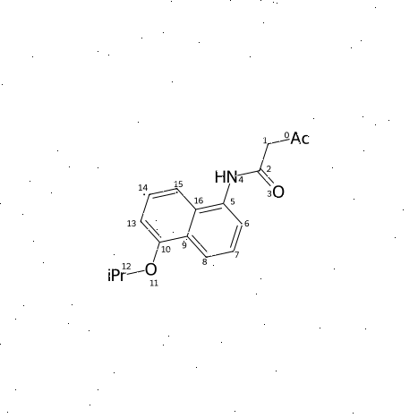 CC(=O)CC(=O)Nc1cccc2c(OC(C)C)c[c][c]c12